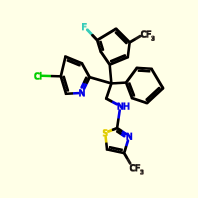 Fc1cc(C(F)(F)F)cc(C(CNc2nc(C(F)(F)F)cs2)(c2ccccc2)c2ccc(Cl)cn2)c1